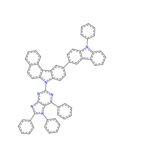 c1ccc(-c2nc(-n3c4ccc(-c5ccc6c(c5)c5ccccc5n6-c5ccccc5)cc4c4c5ccccc5ccc43)nc3nc(-c4ccccc4)n(-c4ccccc4)c23)cc1